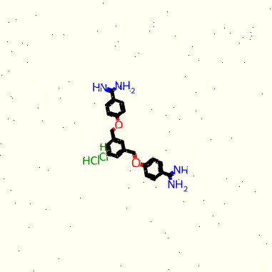 Cl.Cl.N=C(N)c1ccc(OCc2cccc(COc3ccc(C(=N)N)cc3)c2)cc1